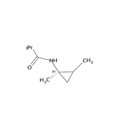 CC(C)C(=O)N[C@]1(C)CC1C